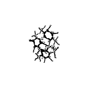 Cc1c([Si](C)(C)C)cc([Si](Cl)(c2cc([Si](C)(C)C)c(C)c(C)c2[Si](C)(C)C)c2cc([Si](C)(C)C)c(C)c(C)c2[Si](C)(C)C)c([Si](C)(C)C)c1C